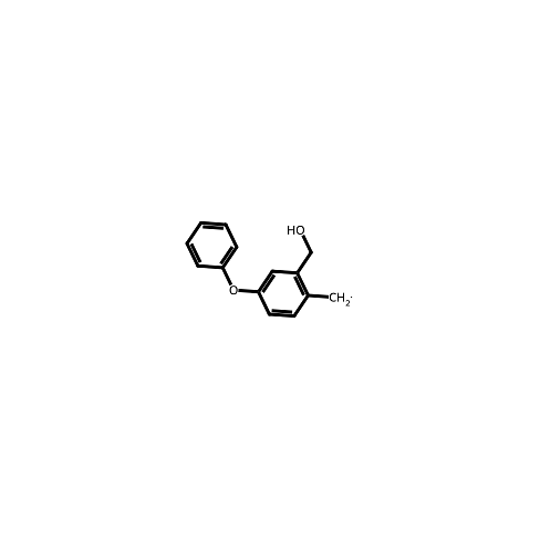 [CH2]c1ccc(Oc2ccccc2)cc1CO